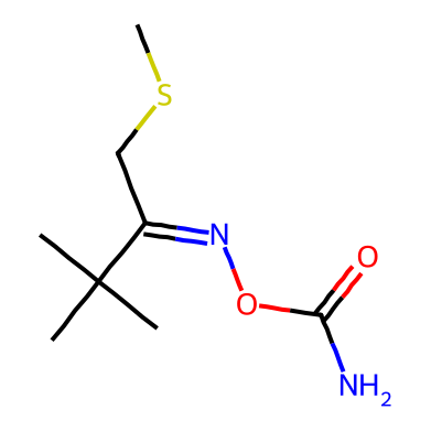 CSCC(=NOC(N)=O)C(C)(C)C